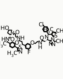 Cc1ncsc1-c1ccc([C@H](C)NC(=O)[C@@H]2C[C@@H](O)CN2C(=O)CNC(=O)CCc2cc(F)cc(OCCNC(=O)C[C@@H]3N=C(c4ccc(Cl)cc4)c4c(sc(C)c4C)-n4c(C)nnc43)c2)cc1